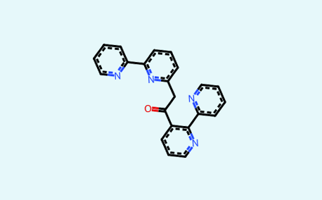 O=C(Cc1cccc(-c2ccccn2)n1)c1cccnc1-c1ccccn1